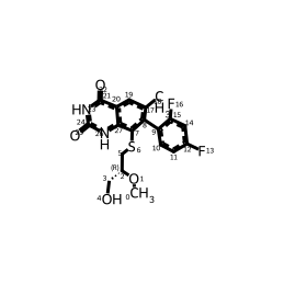 CO[C@H](CO)CSc1c(-c2ccc(F)cc2F)c(C)cc2c(=O)[nH]c(=O)[nH]c12